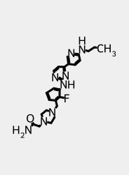 CCCNc1ccc(-c2ccnc(Nc3cccc(CN4CCN(CC(N)=O)CC4)c3F)n2)cn1